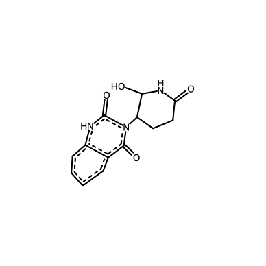 O=C1CCC(n2c(=O)[nH]c3ccccc3c2=O)C(O)N1